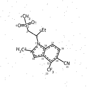 CCC(CS(C)(=O)=O)n1c(C)cc2c(C(F)(F)F)c(C#N)ccc21